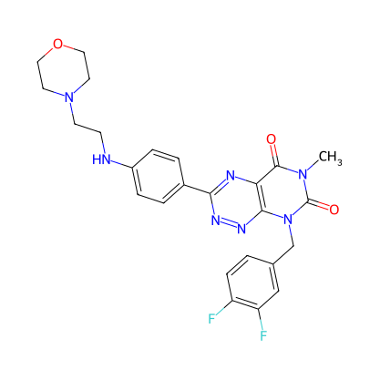 Cn1c(=O)c2nc(-c3ccc(NCCN4CCOCC4)cc3)nnc2n(Cc2ccc(F)c(F)c2)c1=O